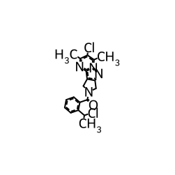 Cc1nc2c3c(nn2c(C)c1Cl)CN(C(=O)c1ccccc1C(C)Cl)C3